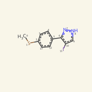 CSc1ccc(-c2n[nH]cc2I)cc1